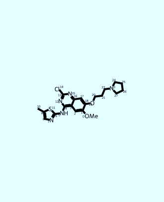 COc1cc2c(Nc3ncc(C)s3)nc(Cl)nc2cc1OCCCN1CCCC1